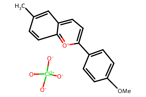 COc1ccc(-c2ccc3cc(C)ccc3[o+]2)cc1.[O-][Cl+3]([O-])([O-])[O-]